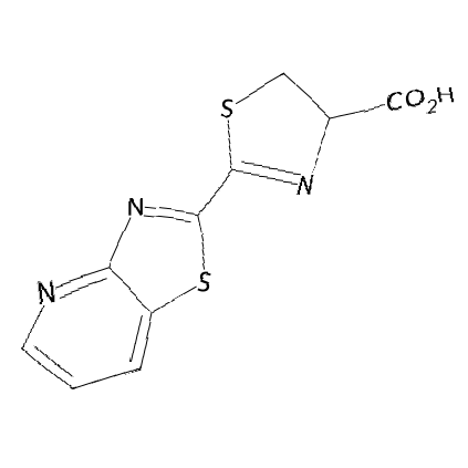 O=C(O)C1CSC(c2nc3ncccc3s2)=N1